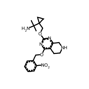 CC(C)(N)C1(COc2nc3c(c(OCc4ccccc4[N+](=O)[O-])n2)CCNC3)CC1